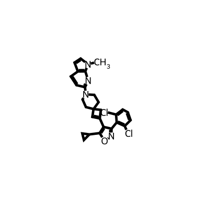 Cn1ccc2ccc(N3CCC4(C=C(c5c(-c6c(Cl)cccc6Cl)noc5C5CC5)C4)CC3)nc21